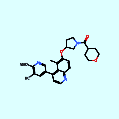 COc1ncc(-c2ccnc3ccc(OC4CCN(C(=O)C5CCOCC5)C4)c(C)c23)cc1C#N